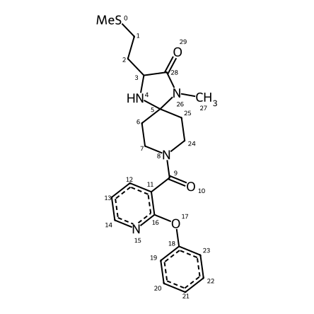 CSCCC1NC2(CCN(C(=O)c3cccnc3Oc3ccccc3)CC2)N(C)C1=O